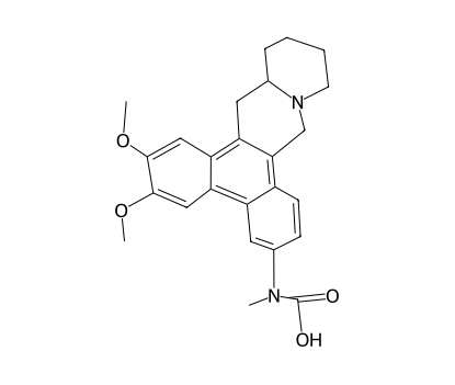 COc1cc2c3c(c4ccc(N(C)C(=O)O)cc4c2cc1OC)CN1CCCCC1C3